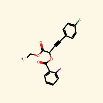 CCOC(=O)C(C#Cc1ccc(Cl)cc1)OC(=O)c1ccccc1I